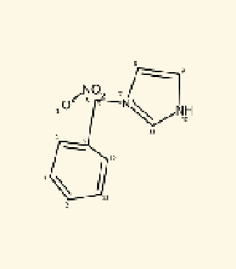 O=[N+]([O-])[O-].c1ccc(C[n+]2cc[nH]c2)cc1